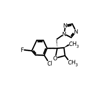 CC1O[C@@](Cn2cncn2)(c2ccc(F)cc2Cl)[C@H]1C